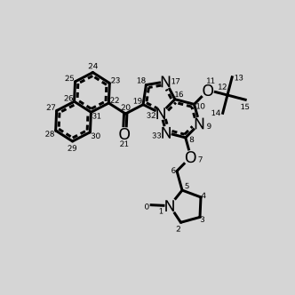 CN1CCCC1COc1nc(OC(C)(C)C)c2ncc(C(=O)c3cccc4ccccc34)n2n1